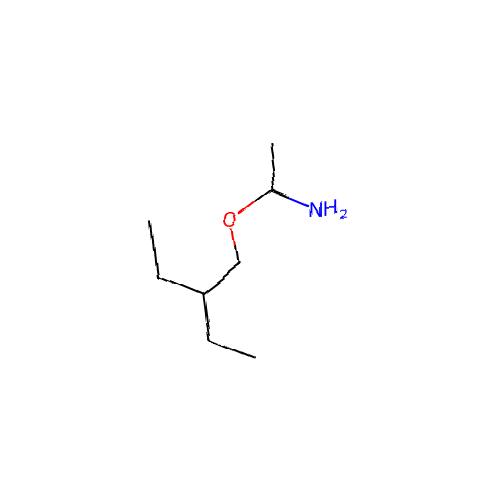 CCC(CC)COC(C)N